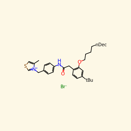 CCCCCCCCCCCCCCOc1cc(C(C)(C)C)ccc1CC(=O)Nc1ccc(C[n+]2cscc2C)cc1.[Br-]